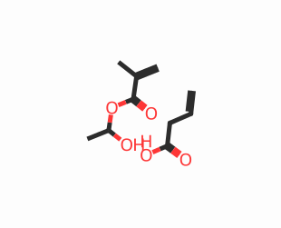 C=C(C)C(=O)OC(C)O.C=CCC(=O)O